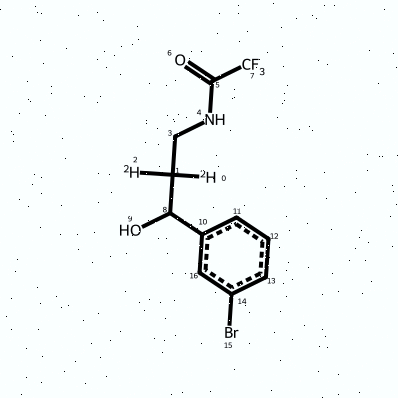 [2H]C([2H])(CNC(=O)C(F)(F)F)C(O)c1cccc(Br)c1